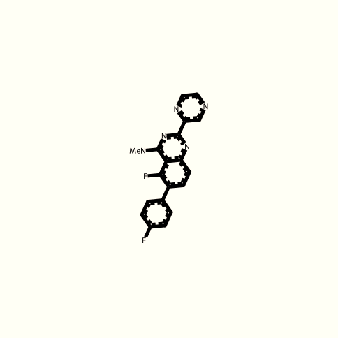 CNc1nc(-c2cnccn2)nc2ccc(-c3ccc(F)cc3)c(F)c12